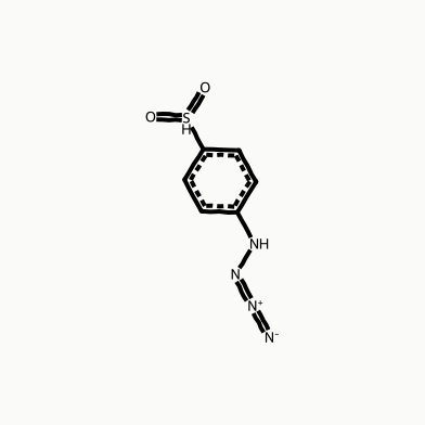 [N-]=[N+]=NNc1ccc([SH](=O)=O)cc1